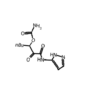 CCCCC(OC(N)=O)C(=O)C(=O)Nc1ccn[nH]1